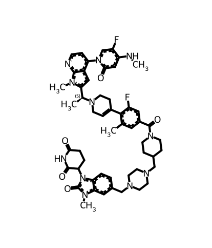 CNc1cc(=O)n(-c2ccnc3c2cc([C@H](C)N2CC=C(c4c(C)cc(C(=O)N5CCC(CN6CCN(Cc7ccc8c(c7)n(C)c(=O)n8C7CCC(=O)NC7=O)CC6)CC5)cc4F)CC2)n3C)cc1F